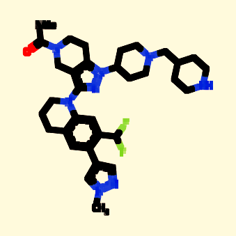 CNC(=O)N1CCc2c(c(N3CCCc4cc(-c5cnn(C)c5)c(C(F)F)cc43)nn2C2CCN(CC3CCNCC3)CC2)C1